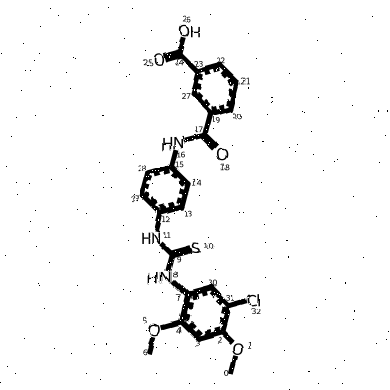 COc1cc(OC)c(NC(=S)Nc2ccc(NC(=O)c3cccc(C(=O)O)c3)cc2)cc1Cl